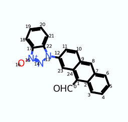 O=Cc1c2ccccc2cc2ccc(-n3n[n+]([O-])c4ccccc43)cc12